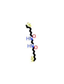 O=C(CCCCC1CCSS1)NCCCNC(=O)CCCCC1CCSS1